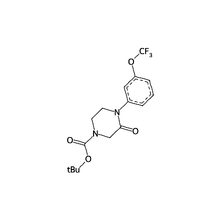 CC(C)(C)OC(=O)N1CCN(c2cccc(OC(F)(F)F)c2)C(=O)C1